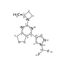 C[C@H]1CCN1c1nc2c(c(-c3cnn(C(F)F)c3)n1)CCC2